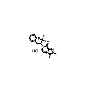 Cc1nc2c(=O)n(C(Cc3ccccc3)C(F)(F)F)ccn2c1C.Cl